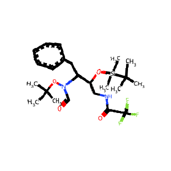 CC(C)(C)ON(C=O)C(Cc1ccccc1)C(CNC(=O)C(F)(F)F)O[Si](C)(C)C(C)(C)C